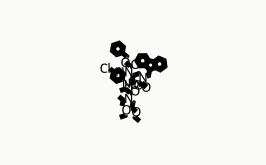 CCOC(CN(C(=O)C(C)N(C(=O)C(CN(CC1c2ccccc2-c2ccccc21)C(=O)O)NC(=O)OCc1ccccc1)c1ccc(Cl)cc1)C(C)C)OCC